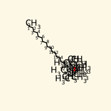 CCCCCCCCCCCCCCCCCCN([Si](C(C)C)(C(C)C)C(C)C)[Si](C(C)C)(C(C)C)C(C)C